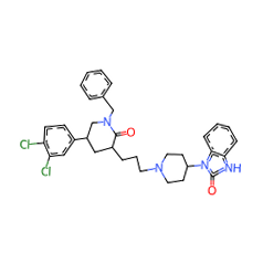 O=C1C(CCCN2CCC(n3c(=O)[nH]c4ccccc43)CC2)CC(c2ccc(Cl)c(Cl)c2)CN1Cc1ccccc1